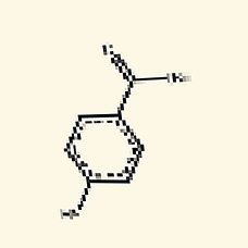 CC(C)(C)C(=O)c1ccc(S)cc1